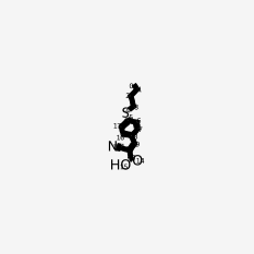 CCCCSc1ccc(/C=C(\C#N)C(=O)O)cc1